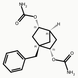 NC(=O)O[C@H]1C[C@]2(Cc3ccccc3)C[C@@H]1C[C@@H]2OC(N)=O